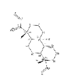 C=CC(=O)[C@]1(C)CCC[C@@]2(C)C3=CCC[C@](C)(C=C)C3CCC12